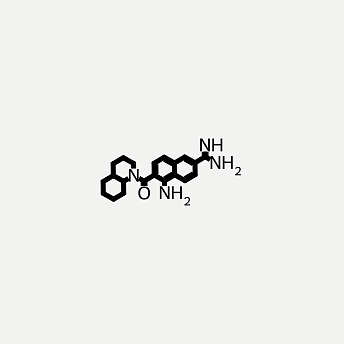 N=C(N)c1ccc2c(N)c(C(=O)N3CCCC4CCCCC43)ccc2c1